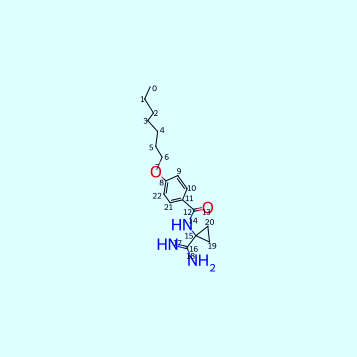 CCCCCCCOc1ccc(C(=O)NC2(C(=N)N)CC2)cc1